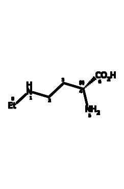 CCNCC[C@@H](N)C(=O)O